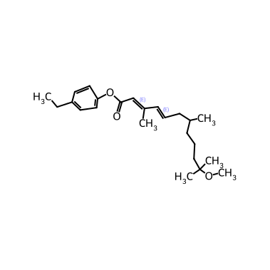 CCc1ccc(OC(=O)/C=C(C)/C=C/CC(C)CCCC(C)(C)OC)cc1